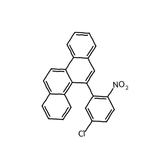 O=[N+]([O-])c1ccc(Cl)cc1-c1cc2ccccc2c2ccc3ccccc3c12